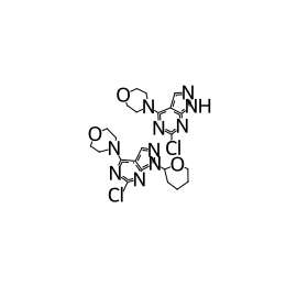 Clc1nc(N2CCOCC2)c2cn[nH]c2n1.Clc1nc(N2CCOCC2)c2cnn(C3CCCCO3)c2n1